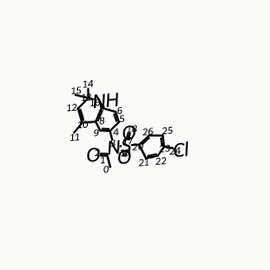 CC(=O)N(c1ccc2c(c1)C(C)=CC(C)(C)N2)S(=O)(=O)c1ccc(Cl)cc1